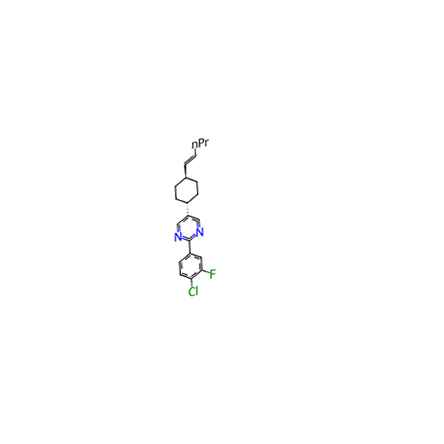 CCCC=C[C@H]1CC[C@H](c2cnc(-c3ccc(Cl)c(F)c3)nc2)CC1